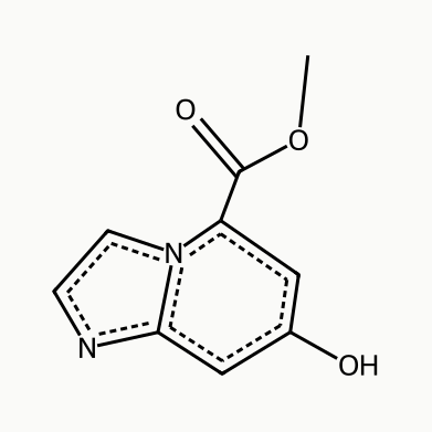 COC(=O)c1cc(O)cc2nccn12